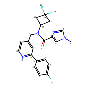 Cn1cnc(C(=O)N(Cc2ccnc(-c3ccc(F)cc3)c2)C2CC(F)(F)C2)c1